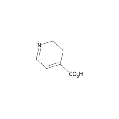 O=C(O)C1=CC=NCC1